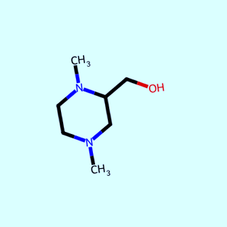 CN1CCN(C)C(CO)C1